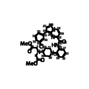 COC(=O)CN(CC(=O)OC)C1CCN(c2ccccc2NC(=O)c2ccn3ncc(-c4cccc(Cl)c4)c3n2)CC1